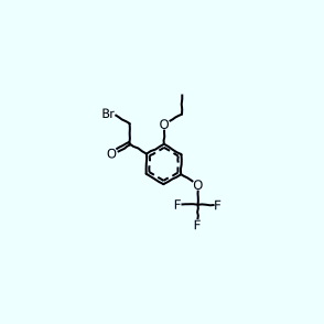 CCOc1cc(OC(F)(F)F)ccc1C(=O)CBr